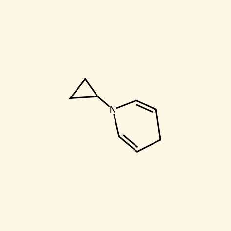 C1=CN(C2CC2)C=CC1